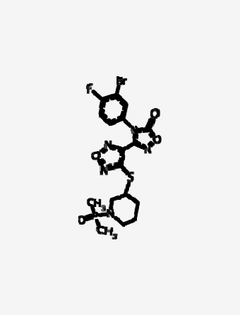 CP(C)(=O)N1CCCC(Sc2nonc2-c2noc(=O)n2-c2ccc(F)c(Br)c2)C1